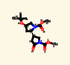 CC(C)(C)OC(=O)N1CC([C@@H]2C[C@@H](O[Si](C)(C)C(C)(C)C)CN2C(=O)OC(C)(C)C)CC1=O